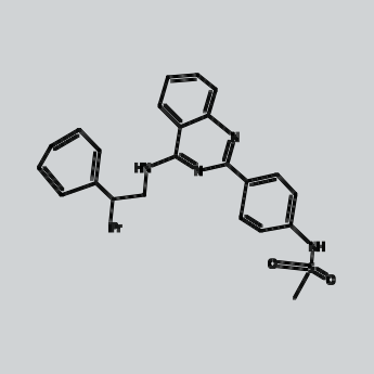 CC(C)C(CNc1nc(-c2ccc(NS(C)(=O)=O)cc2)nc2ccccc12)c1ccccc1